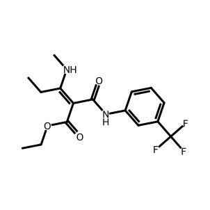 CCOC(=O)/C(C(=O)Nc1cccc(C(F)(F)F)c1)=C(\CC)NC